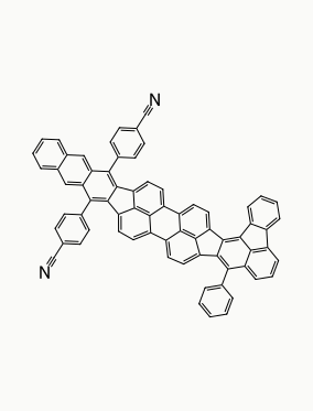 N#Cc1ccc(-c2c3c(c(-c4ccc(C#N)cc4)c4cc5ccccc5cc24)-c2ccc4c5ccc6c7c(ccc(c8ccc-3c2c84)c57)c2c(-c3ccccc3)c3cccc4c5ccccc5c(c34)c62)cc1